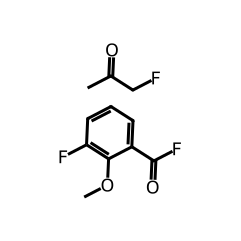 CC(=O)CF.COc1c(F)cccc1C(=O)F